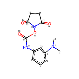 CN(C)c1cccc(NC(=O)ON2C(=O)CCC2=O)c1